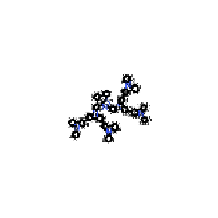 c1ccc(-c2ccccc2-c2cc(-c3cccc(-n4c5ccc(-c6ccc7c(c6)c6ccccc6n7-c6ccccc6)cc5c5cc(-c6ccc7c(c6)c6ccccc6n7-c6ccccc6)ccc54)c3)nc(-c3cccc(-n4c5ccc(-c6ccc7c(c6)c6ccccc6n7-c6ccccc6)cc5c5cc(-c6ccc7c(c6)c6ccccc6n7-c6ccccc6)ccc54)c3)n2)cc1